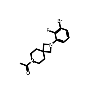 CC(=O)N1CCC2(CC1)CN(c1cccc(Br)c1F)C2